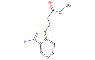 CC(C)(C)OC(=O)CCn1cc(I)c2ccccc21